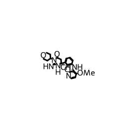 COc1ccncc1Nc1cccc([C@]2(C)CC(=O)N(C3CCOCC3)C(=N)N2)c1Cl